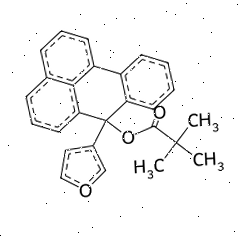 CC(C)(C)C(=O)OC1(c2ccoc2)c2ccccc2-c2cccc3cccc1c23